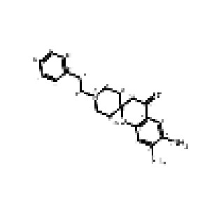 Nc1cc2c(cc1N)C(=O)CC1(CCN(CCc3ccccc3)CC1)O2